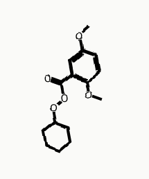 COc1ccc(OC)c(C(=O)OO[C]2CCCCC2)c1